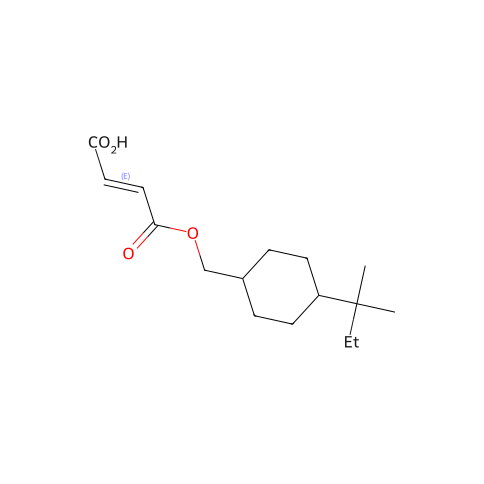 CCC(C)(C)C1CCC(COC(=O)/C=C/C(=O)O)CC1